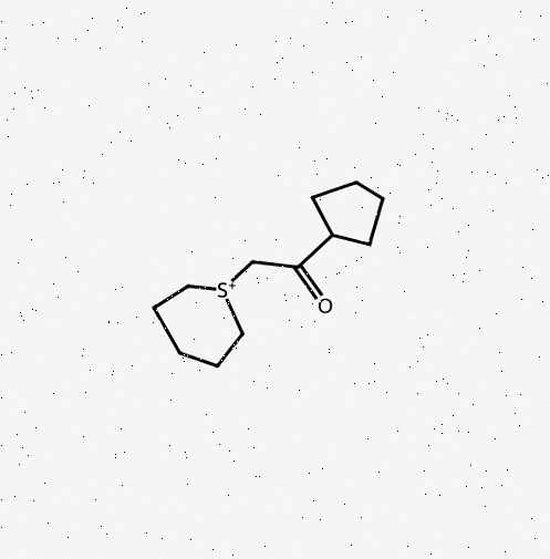 O=C(C[S+]1CCCCC1)C1CCCC1